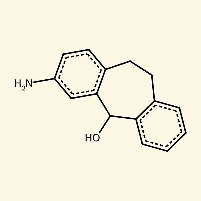 Nc1ccc2c(c1)C(O)c1ccccc1CC2